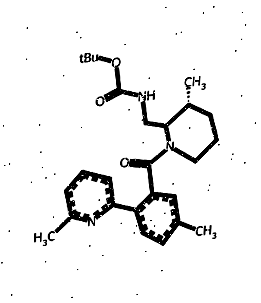 Cc1ccc(-c2cccc(C)n2)c(C(=O)N2CCC[C@@H](C)C2CNC(=O)OC(C)(C)C)c1